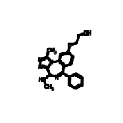 CNC1N=C(c2ccccc2)c2ccc(OCCO)cc2-n2c(C)nnc21